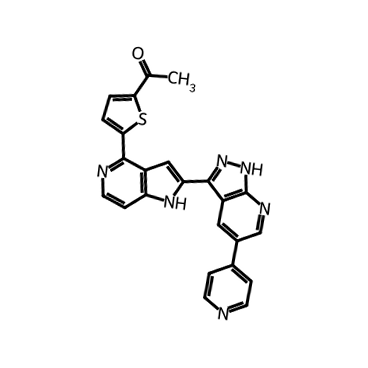 CC(=O)c1ccc(-c2nccc3[nH]c(-c4n[nH]c5ncc(-c6ccncc6)cc45)cc23)s1